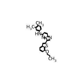 CCCOc1cccc2cc(-c3cnc4ccc(Nc5ccc(C)c(C)c5)nn34)sc12